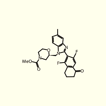 COC(=O)N1CCO[C@@H](Cn2c(-c3c(F)cc4c(c3F)CCCC4=O)nc3cc(C)ccc32)C1